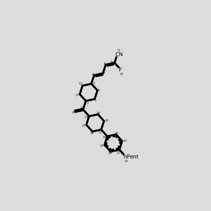 C=C(C1CCC(C=CC=C(F)C#N)CC1)C1CCC(c2ccc(CCCCC)cc2)CC1